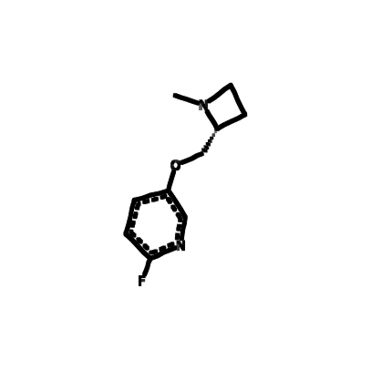 CN1CC[C@@H]1COc1ccc(F)nc1